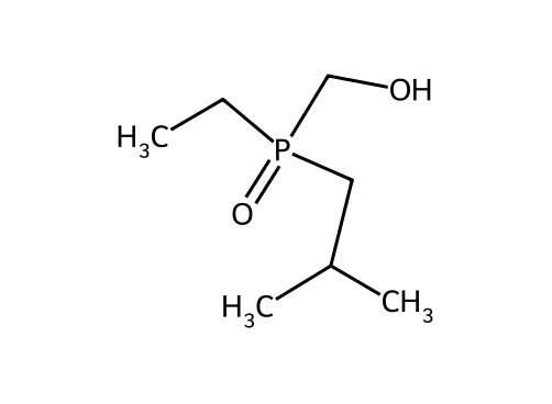 CCP(=O)(CO)CC(C)C